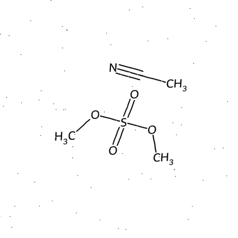 CC#N.COS(=O)(=O)OC